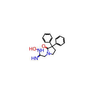 N=C(CN1CCC(c2ccccc2)(c2ccccc2)C1=O)NO